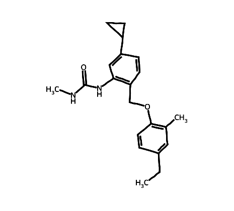 CCc1ccc(OCc2ccc(C3CC3)cc2NC(=O)NC)c(C)c1